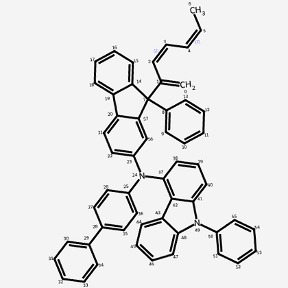 C=C(/C=C\C=C/C)C1(c2ccccc2)c2ccccc2-c2ccc(N(c3ccc(-c4ccccc4)cc3)c3cccc4c3c3ccccc3n4-c3ccccc3)cc21